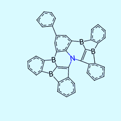 c1ccc(-c2cc3c4c(c2)B2C5=C(c6ccccc6B5c5ccccc52)N4C2=C4B(c5ccccc5B43)c3ccccc32)cc1